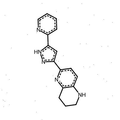 c1ccc(-c2cc(-c3ccc4c(n3)CCCN4)n[nH]2)nc1